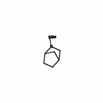 CSN1CC2CCC1C2